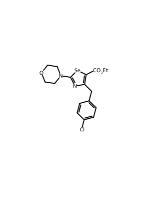 CCOC(=O)c1[se]c(N2CCOCC2)nc1Cc1ccc(Cl)cc1